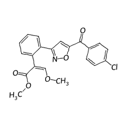 COC=C(C(=O)OC)c1ccccc1-c1cc(C(=O)c2ccc(Cl)cc2)on1